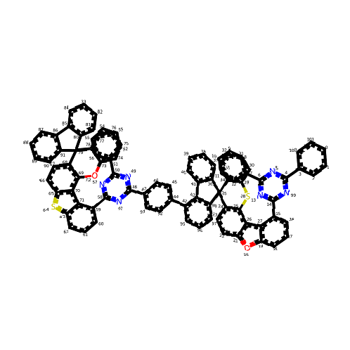 c1ccc(-c2nc(-c3ccccc3)nc(-c3cccc4oc5ccc6c(c5c34)Sc3ccccc3C63c4ccccc4-c4c(-c5ccc(-c6nc(-c7ccccc7)nc(-c7cccc8sc9ccc%10c(c9c78)Oc7ccccc7C%107c8ccccc8-c8ccccc87)n6)cc5)cccc43)n2)cc1